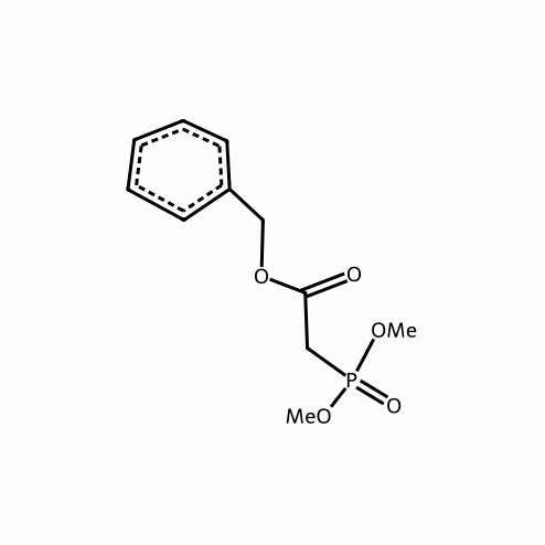 COP(=O)(CC(=O)OCc1ccccc1)OC